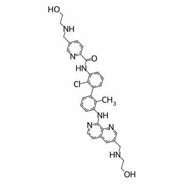 Cc1c(Nc2nccc3cc(CNCCO)cnc23)cccc1-c1cccc(NC(=O)c2ccc(CNCCO)cn2)c1Cl